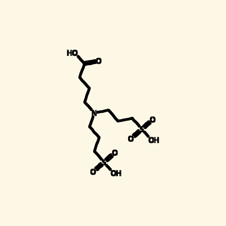 O=C(O)CCCN(CCCS(=O)(=O)O)CCCS(=O)(=O)O